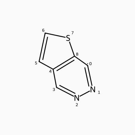 [c]1nncc2ccsc12